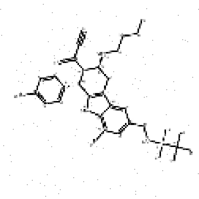 C#CC(=O)N1[C@@H](c2ccc(F)cc2)c2[nH]c3c(F)cc(CO[Si](C)(C)C(C)(C)C)cc3c2C[C@@H]1NCCCC